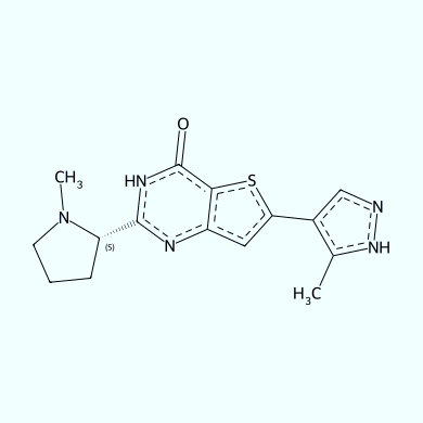 Cc1[nH]ncc1-c1cc2nc([C@@H]3CCCN3C)[nH]c(=O)c2s1